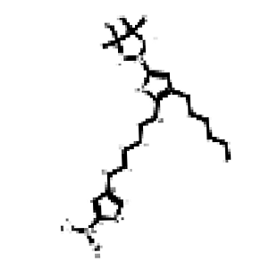 CCCCCCc1cc(B2OC(C)(C)C(C)(C)O2)sc1CCCCCCc1csc(B(O)O)c1